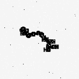 O=C(Nc1cccc(COCCOc2ccc(CCNC[C@H](O)c3ccc(O)c(CO)c3)cc2)c1)c1ccco1